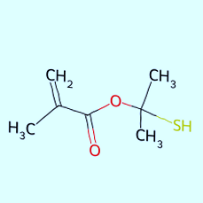 C=C(C)C(=O)OC(C)(C)S